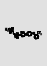 CS(=O)(=O)CCc1nnc(-c2ccc(N3CCC(Oc4ccccc4C(F)(F)F)CC3)nn2)o1